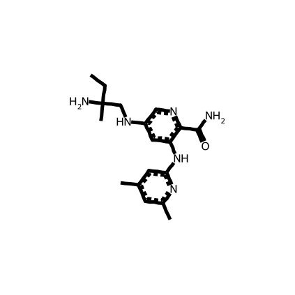 CCC(C)(N)CNc1cnc(C(N)=O)c(Nc2cc(C)cc(C)n2)c1